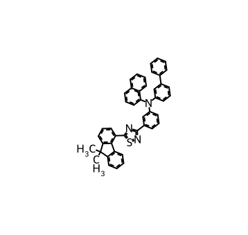 CC1(C)c2ccccc2-c2c(-c3nc(-c4cccc(N(c5cccc(-c6ccccc6)c5)c5cccc6ccccc56)c4)ns3)cccc21